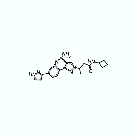 CC(CC(=O)NC1CCC1)n1cc2c(N)nc3cc(-c4cc[nH]n4)ccc3c2n1